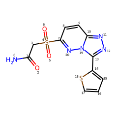 NC(=O)CS(=O)(=O)c1ccc2nnc(-c3cccs3)n2n1